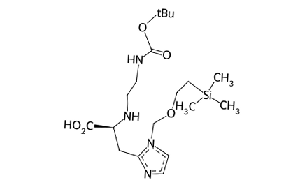 CC(C)(C)OC(=O)NCCN[C@@H](Cc1nccn1COCC[Si](C)(C)C)C(=O)O